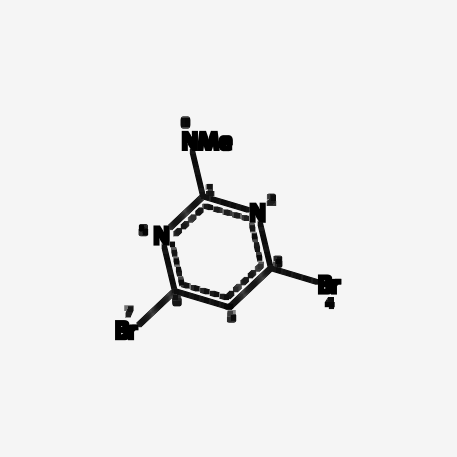 CNc1nc(Br)cc(Br)n1